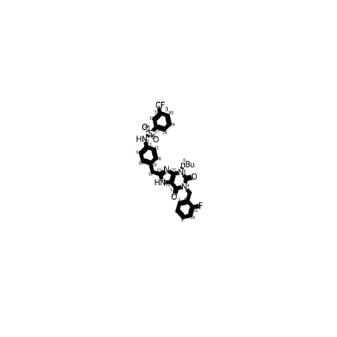 CCCCn1c(=O)n(Cc2ccccc2F)c(=O)c2[nH]c(Cc3ccc(NS(=O)(=O)c4cccc(C(F)(F)F)c4)cc3)nc21